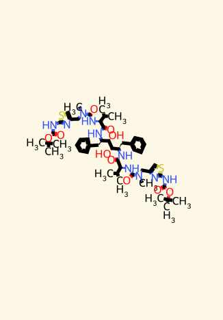 CC(C)[C@H](NC(=O)N(C)Cc1csc(NC(=O)OC(C)(C)C)n1)C(=O)N[C@@H](Cc1ccccc1)[C@H](O)[C@H](O)[C@H](Cc1ccccc1)NC(=O)[C@@H](NC(=O)N(C)Cc1csc(NC(=O)OC(C)(C)C)n1)C(C)C